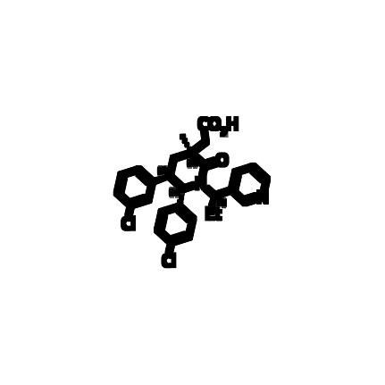 CC[C@H](c1cccnc1)N1C(=O)[C@](C)(CC(=O)O)C[C@H](c2cccc(Cl)c2)[C@H]1c1ccc(Cl)cc1